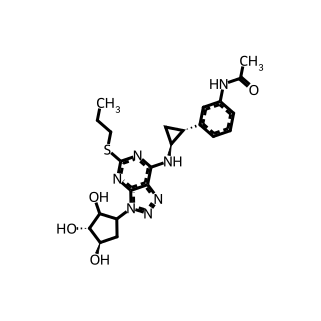 CCCSc1nc(N[C@H]2C[C@@H]2c2cccc(NC(C)=O)c2)c2nnn(C3C[C@@H](O)[C@H](O)C3O)c2n1